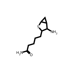 NC(=O)CCCCC1SC2CC2C1N